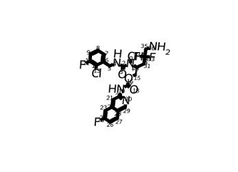 CN(C(=O)NCc1cccc(F)c1Cl)[C@H](COC(=O)Nc1cc2cc(F)ccc2cn1)CC(F)(F)CN